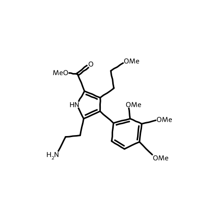 COCCc1c(C(=O)OC)[nH]c(CCN)c1-c1ccc(OC)c(OC)c1OC